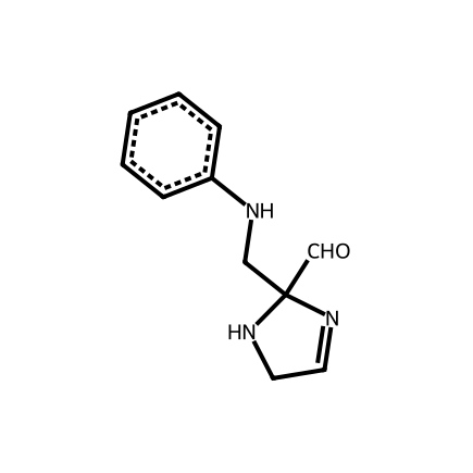 O=CC1(CNc2ccccc2)N=CCN1